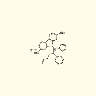 C=CCC[C](c1ccccc1)=[Hf+2]([CH]1C=CC=C1)[CH]1c2cc(C(C)(C)C)ccc2-c2ccc(C(C)(C)C)cc21.[Cl-].[Cl-]